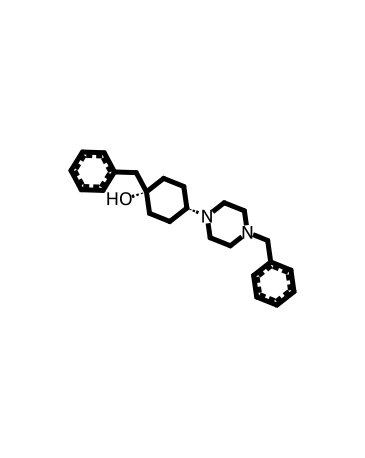 O[C@]1(Cc2ccccc2)CC[C@H](N2CCN(Cc3ccccc3)CC2)CC1